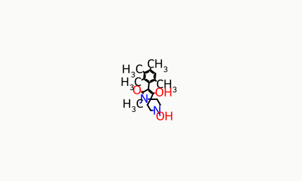 Cc1cc(C)c(C2=C(O)C3(CCN(O)CC3)N(C)C2=O)c(C)c1C